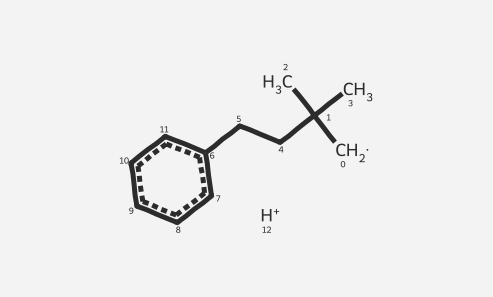 [CH2]C(C)(C)CCc1ccccc1.[H+]